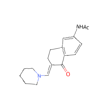 CC(=O)Nc1ccc2c(c1)CCC(=CN1CCCCC1)C2=O